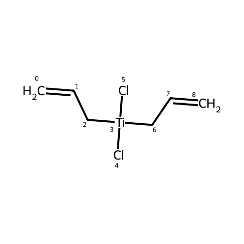 C=C[CH2][Ti]([Cl])([Cl])[CH2]C=C